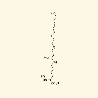 O=C(O)C(CCCCNC(O)CCOCCOCCOCCO)NS